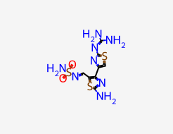 NC(N)=Nc1nc(-c2nc(N)sc2C=NS(N)(=O)=O)cs1